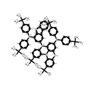 CC(C)(C)c1ccc(N(c2ccc(C(C)(C)C)cc2)c2cc3c4c(c2)N(c2cc(N(c5ccc(C(C)(C)C)cc5)c5ccc(C(C)(C)C)cc5)c5oc6ccccc6c5c2)c2ccc(C(C)(C)C)cc2B4c2cc(C(C)(C)C)ccc2O3)cc1